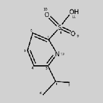 CC(C)c1cccc(S(=O)(=O)O)n1